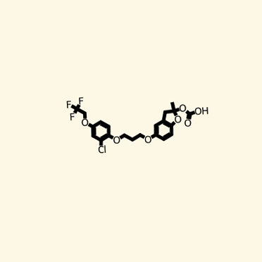 CC1(OC(=O)O)Cc2cc(OCCCOc3ccc(OCC(F)(F)F)cc3Cl)ccc2O1